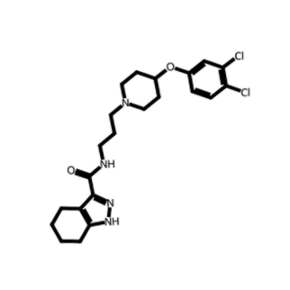 O=C(NCCCN1CCC(Oc2ccc(Cl)c(Cl)c2)CC1)c1n[nH]c2c1CCCC2